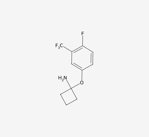 NC1(Oc2ccc(F)c(C(F)(F)F)c2)CCC1